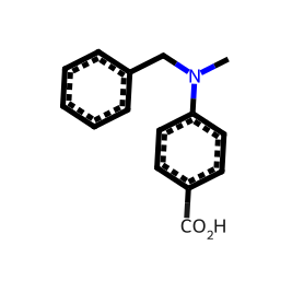 CN(Cc1ccccc1)c1ccc(C(=O)O)cc1